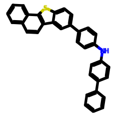 c1ccc(-c2ccc(Nc3ccc(-c4ccc5sc6c7ccccc7ccc6c5c4)cc3)cc2)cc1